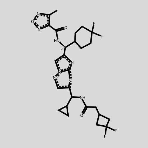 Cc1nonc1C(=O)N[C@H](c1cn2ncc(C(NC(=O)CC3CC(F)(F)C3)C3CC3)cc2n1)C1CCC(F)(F)CC1